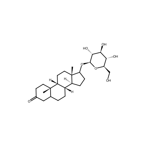 C[C@]12CCC(=O)CC1CC[C@@H]1[C@H]2CC[C@]2(C)C(O[C@@H]3O[C@H](CO)[C@@H](O)[C@H](O)[C@H]3O)CC[C@@H]12